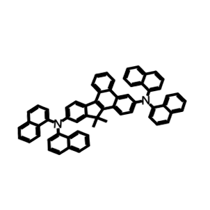 CC1(C)c2cc(N(c3cccc4ccccc34)c3cccc4ccccc34)ccc2-c2c1c1ccc(N(c3cccc4ccccc34)c3cccc4ccccc34)cc1c1ccccc21